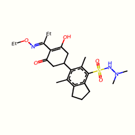 CCON=C(CC)C1=C(O)CC(c2c(C)c3c(c(S(=O)(=O)NN(C)C)c2C)CCC3)CC1=O